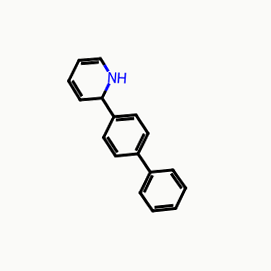 C1=CNC(c2ccc(-c3ccccc3)cc2)C=C1